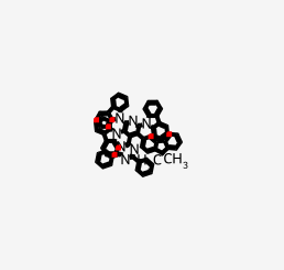 CC1(C)c2ccccc2-c2cc(-c3c(-n4c5ccccc5c5ccccc54)nc(-n4c5ccccc5c5ccccc54)c(-n4c5ccccc5c5ccccc54)c3-c3nc(-c4ccccc4)nc(-c4ccccc4)n3)ccc21